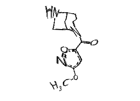 COc1cc(C(=O)N2CCC3CC2CN3)on1